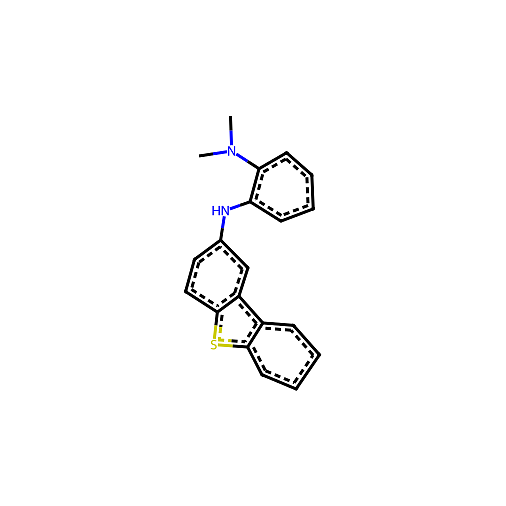 CN(C)c1ccccc1Nc1ccc2sc3ccccc3c2c1